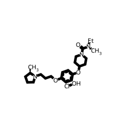 CCN(C)C(=O)N1CCC(Oc2ccc(OCCCN3CCC[C@H]3C)cc2)CC1.OCl